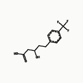 O=C(O)CC(O)CCc1ccc(C(F)(F)F)cc1